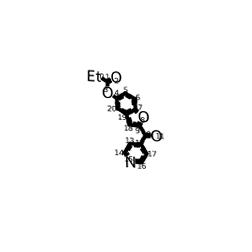 CCC(=O)Oc1ccc2oc(C(=O)c3ccncc3)cc2c1